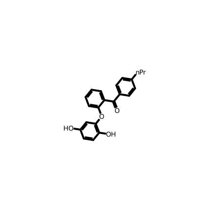 CCCc1ccc(C(=O)c2ccccc2Oc2cc(O)ccc2O)cc1